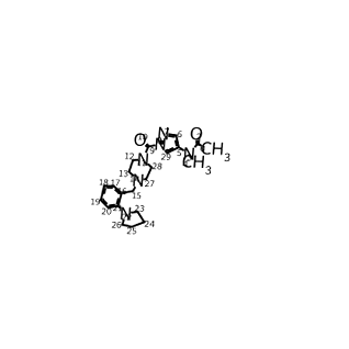 CC(=O)N(C)c1cnn(C(=O)N2CCN(Cc3ccccc3N3CCCC3)CC2)c1